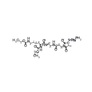 CCOC(=O)NCCCCC(NC(=O)OCC)C(=O)NCCNC(=O)CCN1C(=O)CC(S/B=N/P)C1=O